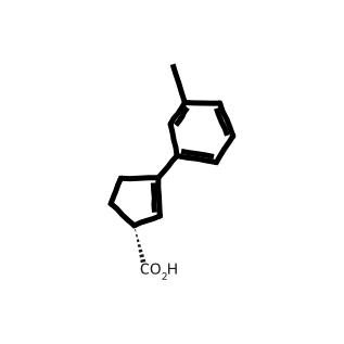 Cc1cccc(C2=C[C@H](C(=O)O)CC2)c1